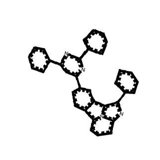 c1ccc(-c2cc(-c3ccc4c(c3)c3c(-c5ccccc5)nc5cccc4n53)nc(-c3ccccc3)n2)cc1